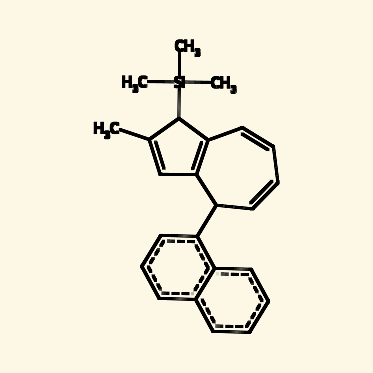 CC1=CC2=C(C=CC=CC2c2cccc3ccccc23)C1[Si](C)(C)C